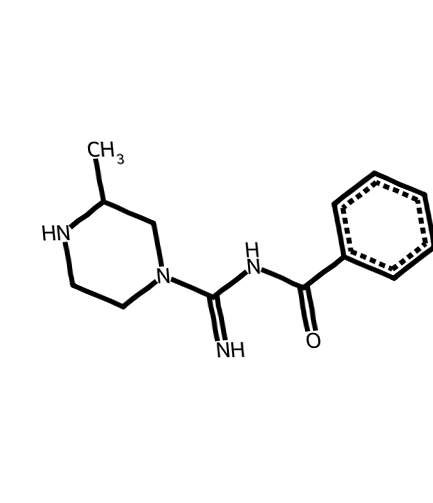 CC1CN(C(=N)NC(=O)c2ccccc2)CCN1